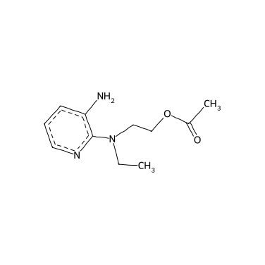 CCN(CCOC(C)=O)c1ncccc1N